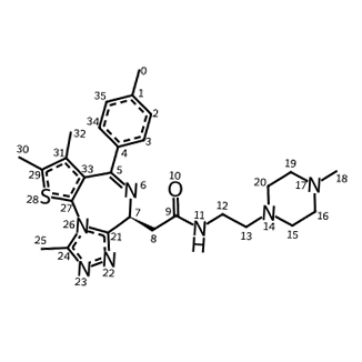 Cc1ccc(C2=N[C@@H](CC(=O)NCCN3CCN(C)CC3)c3nnc(C)n3-c3sc(C)c(C)c32)cc1